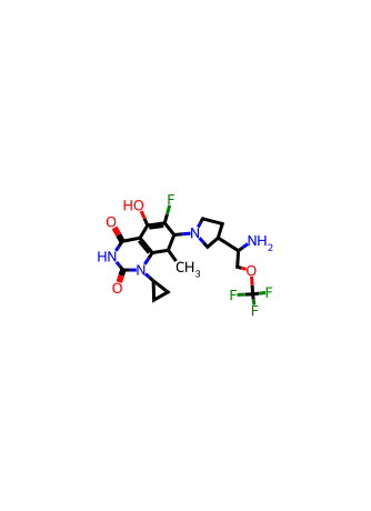 CC1c2c(c(=O)[nH]c(=O)n2C2CC2)C(O)=C(F)C1N1CCC(C(N)COC(F)(F)F)C1